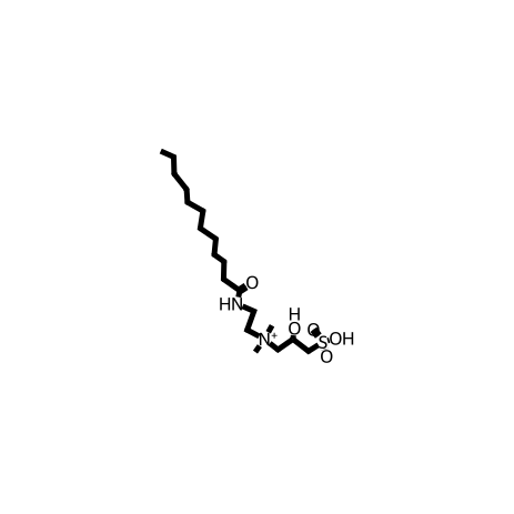 CCCCCCCCCCCC(=O)NCC[N+](C)(C)CC(O)CS(=O)(=O)O